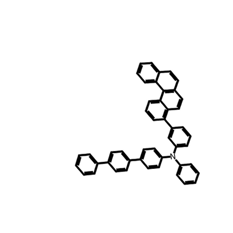 c1ccc(-c2ccc(-c3ccc(N(c4ccccc4)c4cccc(-c5cccc6c5ccc5ccc7ccccc7c56)c4)cc3)cc2)cc1